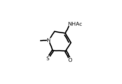 CC(=O)NC1=CC(=O)C(=S)N(C)C1